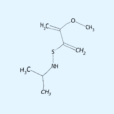 C=C(OC)C(=C)SNC(C)C